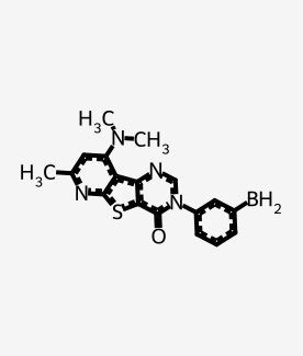 Bc1cccc(-n2cnc3c(sc4nc(C)cc(N(C)C)c43)c2=O)c1